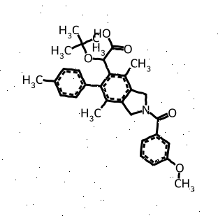 COc1cccc(C(=O)N2Cc3c(C)c(-c4ccc(C)cc4)c(C(OC(C)(C)C)C(=O)O)c(C)c3C2)c1